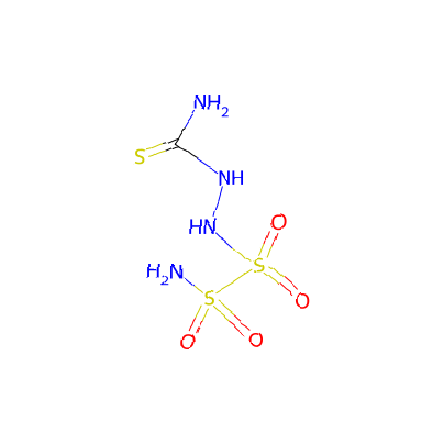 NC(=S)NNS(=O)(=O)S(N)(=O)=O